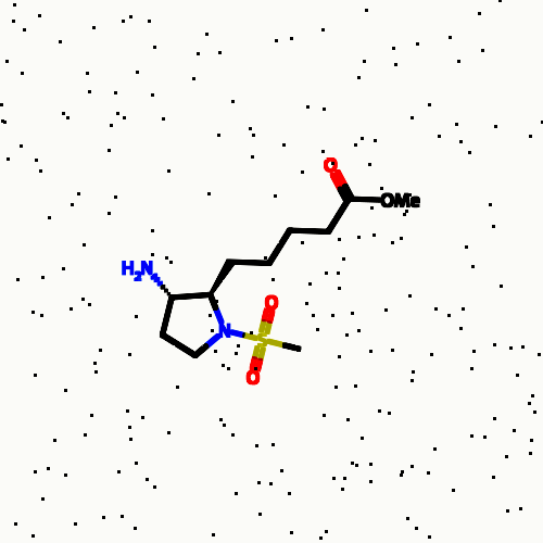 COC(=O)CCCC[C@@H]1[C@@H](N)CCN1S(C)(=O)=O